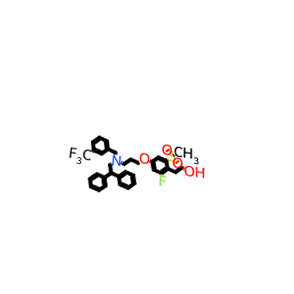 CS(=O)(=O)c1cc(OCCCN(Cc2cccc(C(F)(F)F)c2)CC(c2ccccc2)c2ccccc2)cc(F)c1CCO